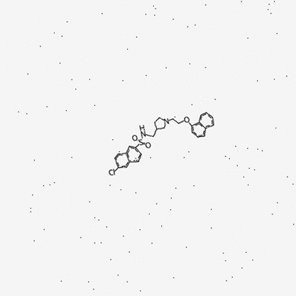 O=S(=O)(NCC1CCN(CCOc2cccc3ccccc23)C1)c1ccc2cc(Cl)ccc2c1